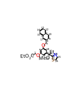 CCOC(=O)COc1cc(OCc2ccc3ccccc3c2)cc(C(CC)(OC)c2nccs2)c1